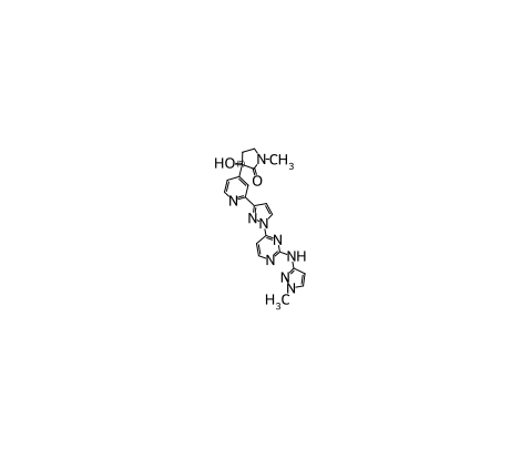 CN1CC[C@@](O)(c2ccnc(-c3ccn(-c4ccnc(Nc5ccn(C)n5)n4)n3)c2)C1=O